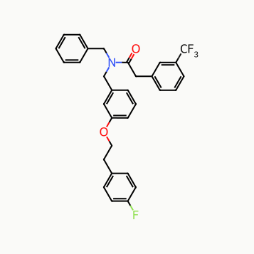 O=C(Cc1cccc(C(F)(F)F)c1)N(Cc1ccccc1)Cc1cccc(OCCc2ccc(F)cc2)c1